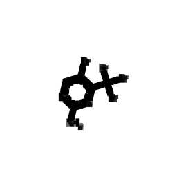 Nc1ncc(Br)c(C(Br)(Br)Br)n1